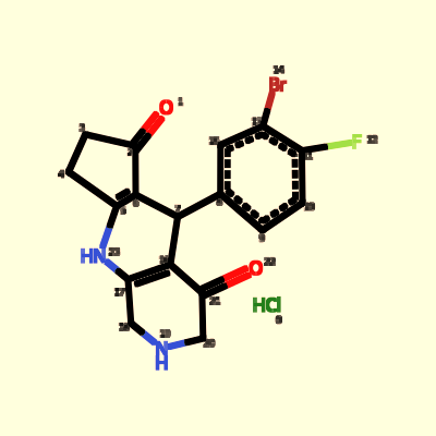 Cl.O=C1CCC2=C1C(c1ccc(F)c(Br)c1)C1=C(CNCC1=O)N2